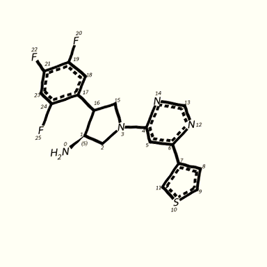 N[C@@H]1CN(c2cc(-c3ccsc3)ncn2)CC1c1cc(F)c(F)cc1F